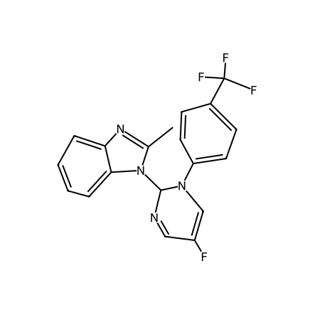 Cc1nc2ccccc2n1C1N=CC(F)=CN1c1ccc(C(F)(F)F)cc1